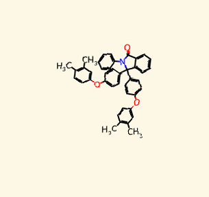 Cc1ccc(Oc2ccc(C3(c4ccc(Oc5ccc(C)c(C)c5)cc4)c4ccccc4C(=O)N3c3ccccc3)cc2)cc1C